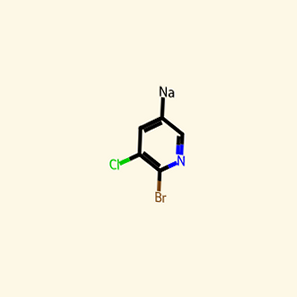 [Na][c]1cnc(Br)c(Cl)c1